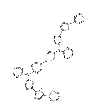 c1ccc(-c2ccc(-c3ccc(N(c4ccc(-c5ccc(N(c6ccccn6)c6ccc(-c7ccc(-c8ccccc8)s7)s6)cc5)cc4)c4ccccn4)s3)s2)cc1